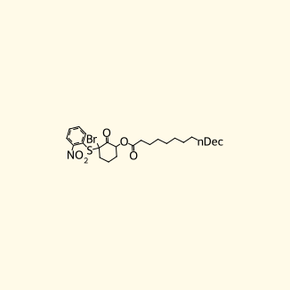 CCCCCCCCCCCCCCCCCC(=O)OC1CCCC(Br)(Sc2ccccc2[N+](=O)[O-])C1=O